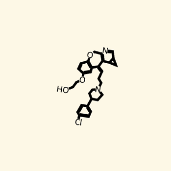 OCCOc1ccc2c(c1)C(=CCCN1CCC(c3ccc(Cl)cc3)CC1)C1=C(CO2)N=CC2CC12